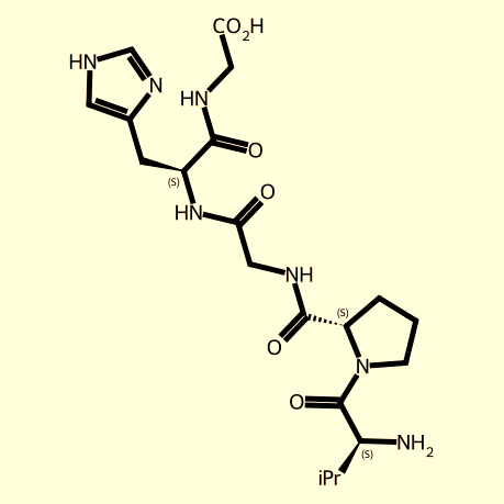 CC(C)[C@H](N)C(=O)N1CCC[C@H]1C(=O)NCC(=O)N[C@@H](Cc1c[nH]cn1)C(=O)NCC(=O)O